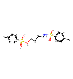 Cc1ccc(S(=O)(=O)NCCCCOS(=O)(=O)c2ccc(C)cc2)cc1